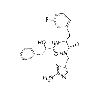 Nc1ncc(CNC(=O)[C@H](Cc2cccc(F)c2)NC(=O)[C@H](O)Cc2ccccc2)s1